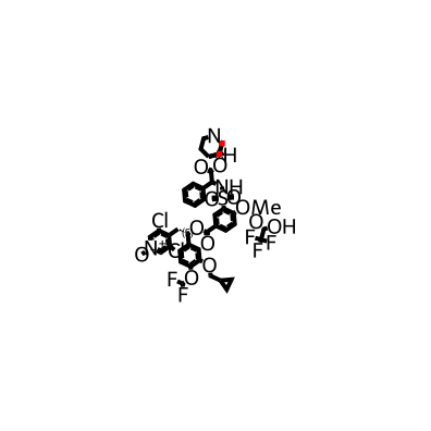 COc1ccc(C(=O)O[C@@H](Cc2c(Cl)c[n+]([O-])cc2Cl)c2ccc(OC(F)F)c(OCC3CC3)c2)cc1S(=O)(=O)NC(C(=O)O[C@H]1CN2CCC1CC2)c1ccccc1.O=C(O)C(F)(F)F